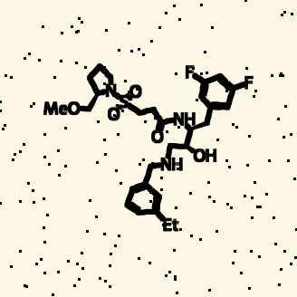 CCc1cccc(CNC[C@H](O)[C@H](Cc2cc(F)cc(F)c2)NC(=O)CCS(=O)(=O)N2CCC[C@@H]2COC)c1